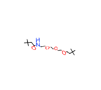 CC(C)(C)CCOCCOCCOCCNC(=O)CC(C)(C)C